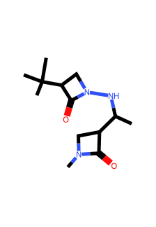 CC(NN1CC(C(C)(C)C)C1=O)C1CN(C)C1=O